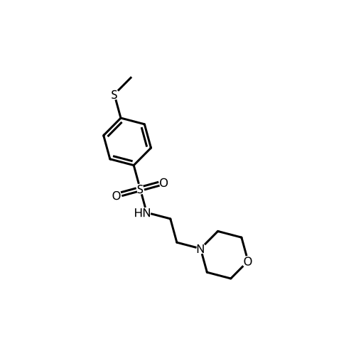 CSc1ccc(S(=O)(=O)NCCN2CCOCC2)cc1